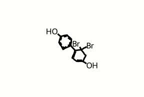 OC1=CC=C(c2ccc(O)cc2)C(Br)(Br)C1